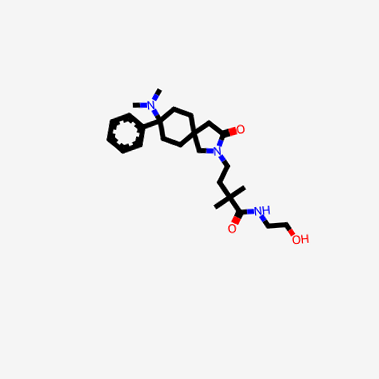 CN(C)C1(c2ccccc2)CCC2(CC1)CC(=O)N(CCC(C)(C)C(=O)NCCO)C2